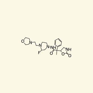 CC(C(=O)NN1CCN(CCN2CCOCC2)C(F)C1)(c1ccccc1)C1CNC(=O)O1